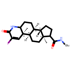 CC(C)(C)NC(=O)C1CC[C@H]2[C@@H]3CCC4NC(=O)C(I)=C[C@]4(C)[C@@H]3CC[C@]12C